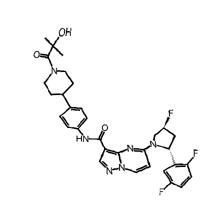 CC(C)(O)C(=O)N1CCC(c2ccc(NC(=O)c3cnn4ccc(N5C[C@@H](F)C[C@@H]5c5cc(F)ccc5F)nc34)cc2)CC1